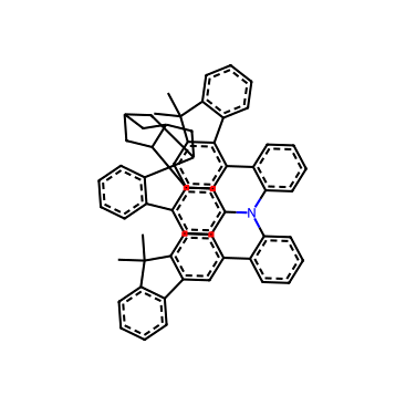 CC1(C)c2ccccc2-c2cc(-c3ccccc3N(c3ccc4c(c3)C3(c5ccccc5-4)C4CC5CC(C4)C3C5)c3ccccc3-c3cccc4c3-c3ccccc3C4(C)C)ccc21